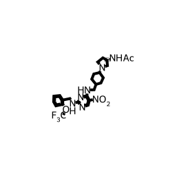 CC(=O)N[C@H]1CCN(C2CCC(CNc3nc(NCc4ccccc4OC(F)(F)F)ncc3[N+](=O)[O-])CC2)C1